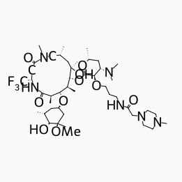 CO[C@]1(C)C[C@H](O[C@H]2[C@H](C)[C@@H](O[C@@H]3O[C@H](C)C[C@H](N(C)C)[C@H]3OCCCNC(=O)CN3CCN(C)CC3)[C@](C)(O)C[C@@H](C)CN(C)C(=O)C[C@@H](C(F)(F)F)NC(=O)[C@@H]2C)C[C@@H](C)[C@@H]1O